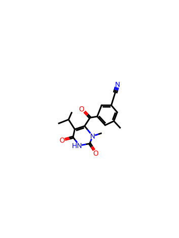 Cc1cc(C#N)cc(C(=O)c2c(C(C)C)c(=O)[nH]c(=O)n2C)c1